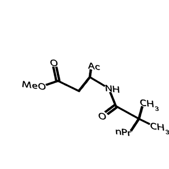 CCCC(C)(C)C(=O)NC(CC(=O)OC)C(C)=O